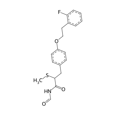 CSC(Cc1ccc(OCCc2ccccc2F)cc1)C(=O)NC=O